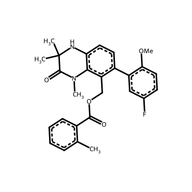 COc1ccc(F)cc1-c1ccc2c(c1COC(=O)c1ccccc1C)N(C)C(=O)C(C)(C)N2